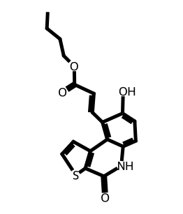 CCCCOC(=O)/C=C/c1c(O)ccc2[nH]c(=O)c3sccc3c12